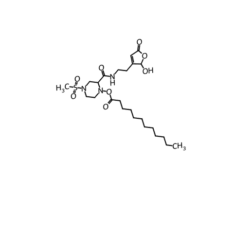 CCCCCCCCCCCC(=O)ON1CCN(S(C)(=O)=O)CC1C(=O)NCCC1=CC(=O)OC1O